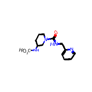 O=C(O)NC1CCCN(C(=O)NCc2ccccn2)C1